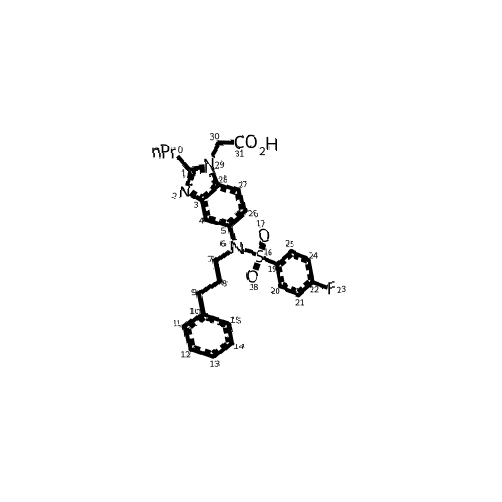 CCCc1nc2cc(N(CCCc3ccccc3)S(=O)(=O)c3ccc(F)cc3)ccc2n1CC(=O)O